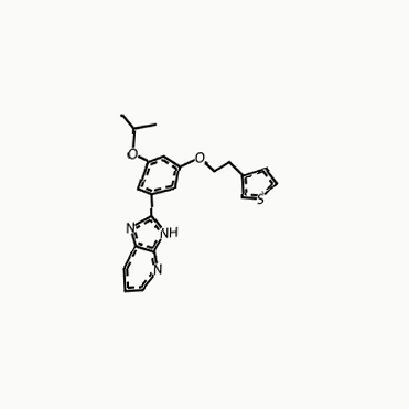 CC(C)Oc1cc(OCCc2ccsc2)cc(-c2nc3cccnc3[nH]2)c1